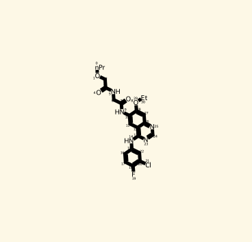 CCCOCC(=O)NCC(=O)Nc1cc2c(Nc3ccc(F)c(Cl)c3)ncnc2cc1OCC